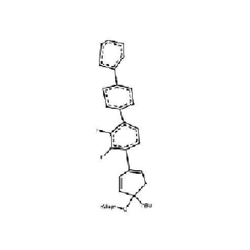 CCCCCCCOC1(CCCC)C=CC(c2ccc(-c3ccc(-c4ccccc4)cc3)c(F)c2F)=CC1